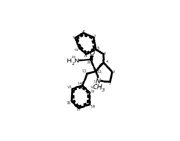 CN1CCC(Cc2ccccc2)C1(Cc1ccccc1)C(N)=O